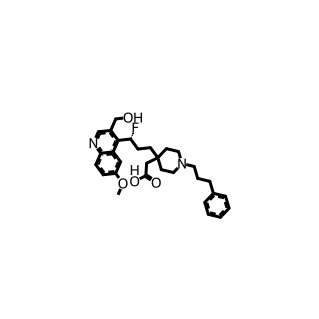 COc1ccc2ncc(CO)c([C@H](F)CCC3(CC(=O)O)CCN(CCCc4ccccc4)CC3)c2c1